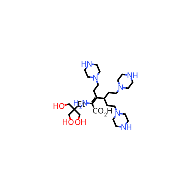 CCC(CO)(CO)CO.NC(C(=O)O)=C(CCN1CCNCC1)C(CCN1CCNCC1)CCN1CCNCC1